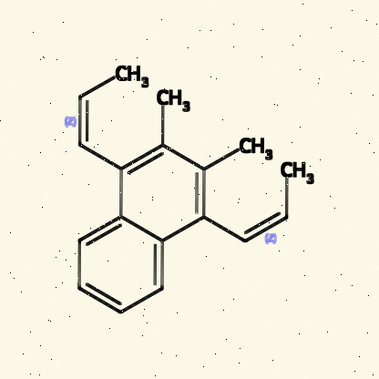 C/C=C\c1c(C)c(C)c(/C=C\C)c2ccccc12